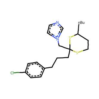 CCCCC1CCSC(CCCc2ccc(Cl)cc2)(Cn2ccnc2)S1